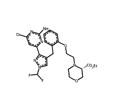 CCOC(=O)[C@@H]1COCCN1CCOc1ccccc1Cc1cn(C(F)F)nc1-c1cc(Cl)nc(N)n1